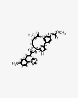 COC(=O)Nc1ccc2c(c1)NC(=O)[C@@H](C)CCC[C@H](NC(=O)/C=C/c1cc(C)ccc1-n1cnnn1)c1nc-2c[nH]1